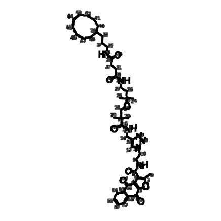 Cc1oc2c(c1C(=O)NCCn1cc(CNC(=O)C(C)(C)COC(C)(C)CCNC(=O)CCC(=O)NCCCC3CCCCCCCCC3)nn1)C(=O)c1ccccc1C2=O